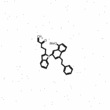 C=CC(=O)CCc1cc2ccccc2n1-c1cc(CCc2ccccc2)c2cccc(OC)c2c1